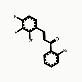 O=C(/C=C/c1ccc(F)c(F)c1Br)c1ccccc1Br